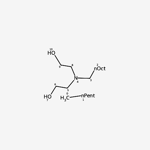 CCCCCC.CCCCCCCCCN(CCO)CCO